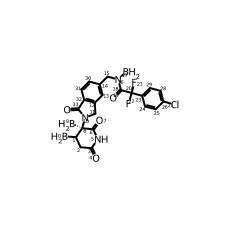 BC1CC(=O)NC(=O)[C@]1(B)N1Cc2cc(CN(B)C(=O)C(F)(F)c3ccc(Cl)cc3)ccc2C1=O